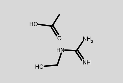 CC(=O)O.N=C(N)NCO